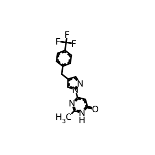 Cc1nc(-n2cc(Cc3ccc(C(F)(F)F)cc3)cn2)cc(=O)[nH]1